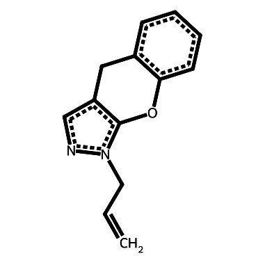 C=CCn1ncc2c1Oc1ccccc1C2